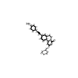 O=c1nc(OCC2COCCO2)cc2n1CCc1cc(C#Cc3ccc(O)cc3)ccc1-2